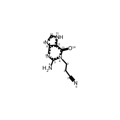 N#CCCn1c(N)nc2nc[nH]c2c1=O